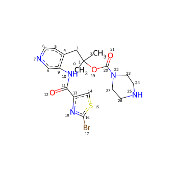 CC(C)(Cc1ccncc1NC(=O)c1csc(Br)n1)OC(=O)N1CCNCC1